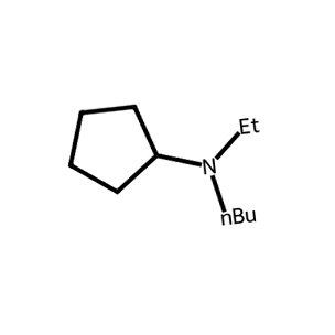 [CH2]CCCN(CC)C1CCCC1